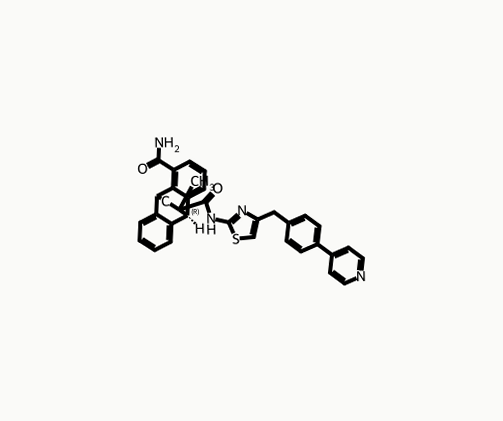 CC1(C(=O)Nc2nc(Cc3ccc(-c4ccncc4)cc3)cs2)CC2c3ccccc3[C@@H]1c1cccc(C(N)=O)c12